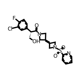 O=C([C@H](CO)c1ccc(F)c(Cl)c1)N1CC(=C2CN(S(=O)(=O)c3ccccn3)C2)C1